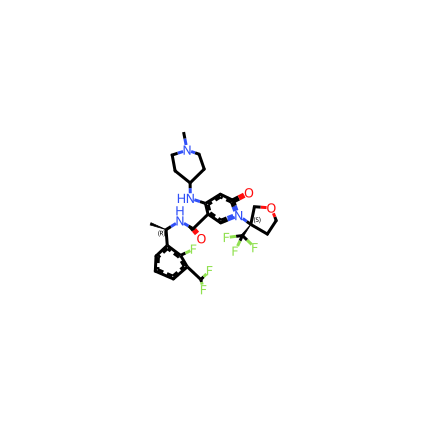 C[C@@H](NC(=O)c1cn([C@@]2(C(F)(F)F)CCOC2)c(=O)cc1NC1CCN(C)CC1)c1cccc(C(F)F)c1F